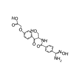 N/C(=N\O)c1ccc(C(=O)NC(CO)C(=O)c2ccc(OCC(=O)O)cc2)cc1